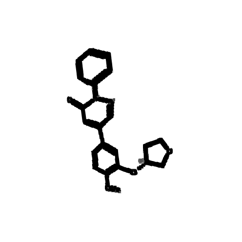 COc1ccc(-c2cnn(-c3ccccc3)c(=O)c2)cc1O[C@@H]1CCOC1